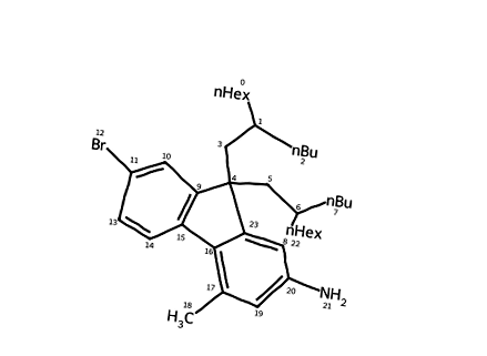 CCCCCCC(CCCC)CC1(CC(CCCC)CCCCCC)c2cc(Br)ccc2-c2c(C)cc(N)cc21